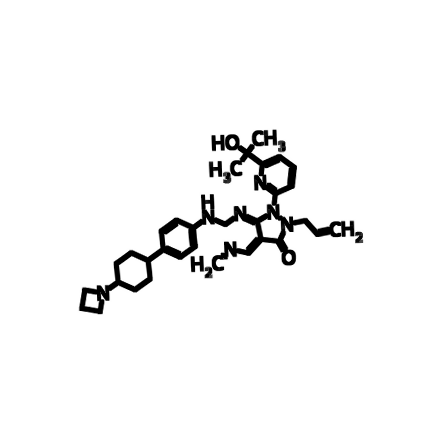 C=CCN1C(=O)C(=C/N=C)/C(=N\CNc2ccc(C3CCC(N4CCC4)CC3)cc2)N1c1cccc(C(C)(C)O)n1